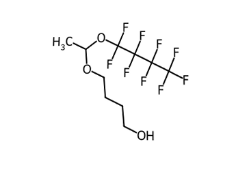 CC(OCCCCO)OC(F)(F)C(F)(F)C(F)(F)C(F)(F)F